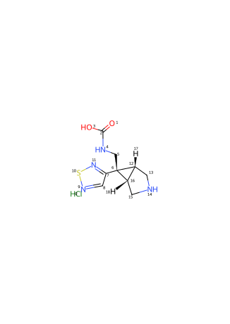 Cl.O=C(O)NC[C@@]1(c2cnsn2)[C@@H]2CNC[C@@H]21